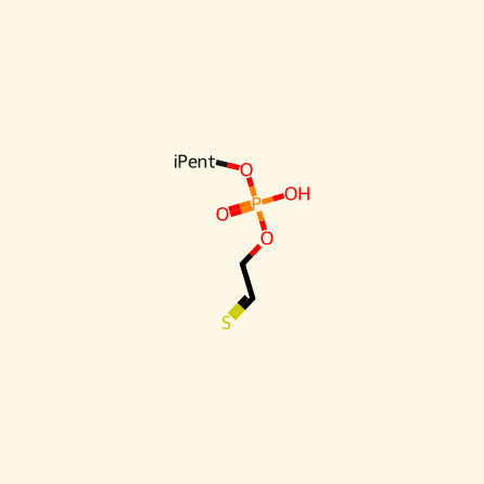 CCCC(C)OP(=O)(O)OCC=S